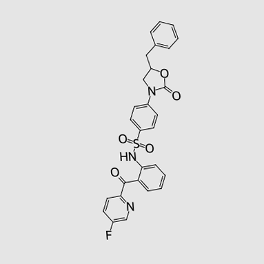 O=C(c1ccc(F)cn1)c1ccccc1NS(=O)(=O)c1ccc(N2CC(Cc3ccccc3)OC2=O)cc1